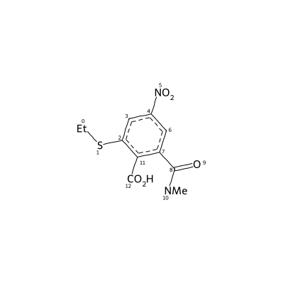 CCSc1cc([N+](=O)[O-])cc(C(=O)NC)c1C(=O)O